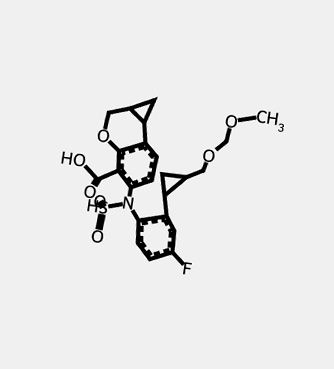 COCOCC1CC1c1cc(F)ccc1N(c1ccc2c(c1C(=O)O)OCC1CC21)[SH](=O)=O